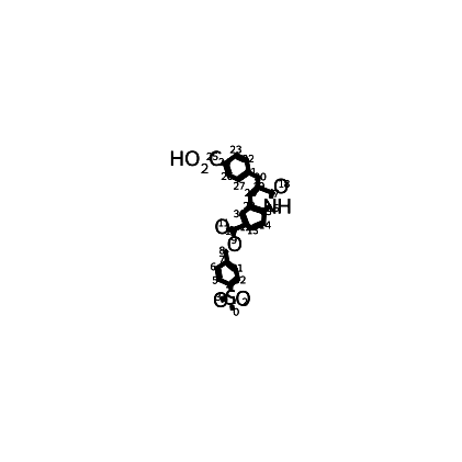 CS(=O)(=O)c1ccc(COC(=O)c2ccc3[nH]c(=O)c(Cc4ccc(C(=O)O)cc4)cc3c2)cc1